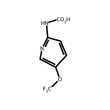 O=C(O)Nc1ccc(OC(F)(F)F)cn1